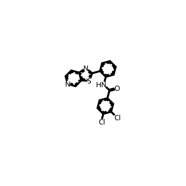 O=C(Nc1ccccc1-c1nc2ccncc2s1)c1ccc(Cl)c(Cl)c1